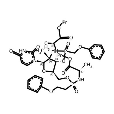 CC(C)OC(=O)[C@H](C)NP(=O)(CCOc1ccccc1)OC[C@H]1O[C@@H](n2ccc(=O)[nH]c2=O)[C@](C)(F)[C@@H]1OP(=O)(COc1ccccc1)N[C@@H](C)C(=O)OC(C)C